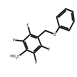 O=C(O)c1c(F)c(F)c(COc2ccccc2)c(F)c1F